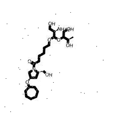 CC(=O)N[C@@H](CO)C(OCCCCCC(=O)N1C[C@H](OC2CCCCCC2)C[C@H]1CO)OC(CO)[C@@H](C)O